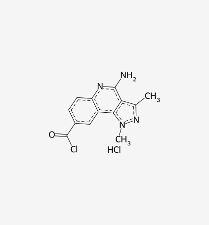 Cc1nn(C)c2c1c(N)nc1ccc(C(=O)Cl)cc12.Cl